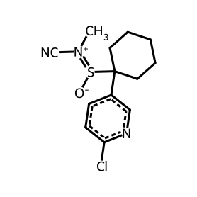 C[N+](C#N)=S([O-])C1(c2ccc(Cl)nc2)CCCCC1